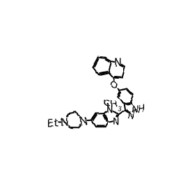 CCN1CCN(c2ccc3nc(-c4n[nH]c5ccc(Oc6ccnc7ccccc67)cc45)n(C)c3c2)CC1